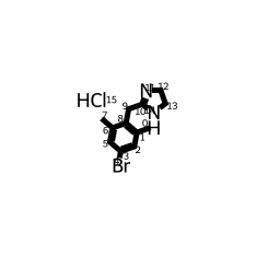 Cc1cc(Br)cc(C)c1CC1=NCCN1.Cl